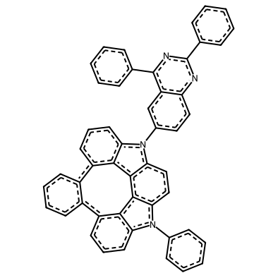 c1ccc(-c2nc(-c3ccccc3)c3cc(-n4c5cccc6c7ccccc7c7cccc8c7c7c(c65)c4ccc7n8-c4ccccc4)ccc3n2)cc1